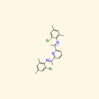 C/C(=N\c1c(C)cc(C)cc1Br)c1cccc(/C(C)=N/c2c(C)cc(C)cc2Br)n1